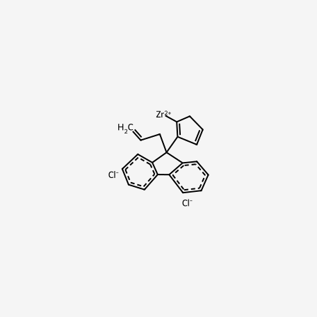 C=CCC1(C2=[C]([Zr+2])CC=C2)c2ccccc2-c2ccccc21.[Cl-].[Cl-]